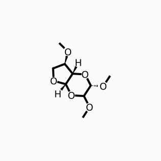 COC1O[C@@H]2OC[C@@H](OC)[C@@H]2O[C@@H]1OC